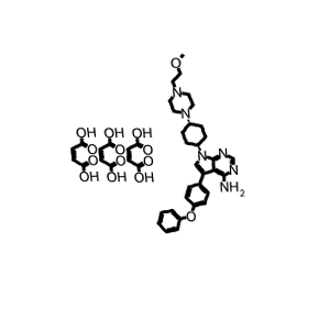 COCCN1CCN([C@H]2CC[C@H](n3cc(-c4ccc(Oc5ccccc5)cc4)c4c(N)ncnc43)CC2)CC1.O=C(O)/C=C\C(=O)O.O=C(O)/C=C\C(=O)O.O=C(O)/C=C\C(=O)O